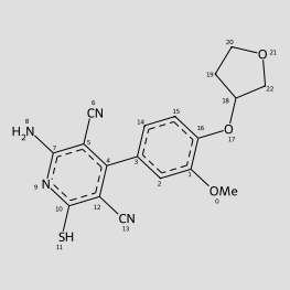 COc1cc(-c2c(C#N)c(N)nc(S)c2C#N)ccc1OC1CCOC1